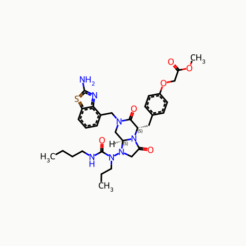 CCCCNC(=O)N(CCC)N1CC(=O)N2[C@@H](Cc3ccc(OCC(=O)OC)cc3)C(=O)N(Cc3cccc4sc(N)nc34)C[C@@H]21